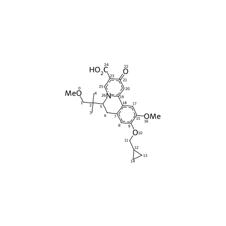 COCC(C)(C)C1Cc2cc(OCC3CC3)c(OC)cc2-c2cc(=O)c(C(=O)O)cn21